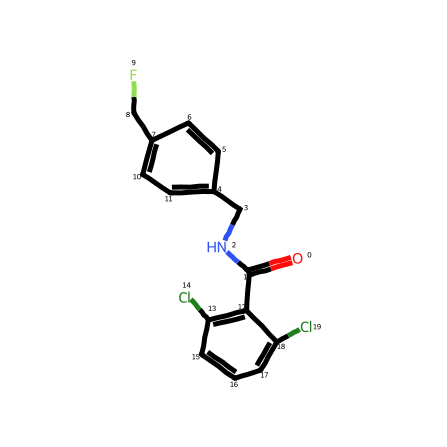 O=C(NCc1ccc(CF)cc1)c1c(Cl)cccc1Cl